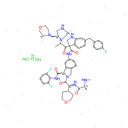 CN[C@@H](C)C(=O)N[C@H](C(=O)N1Cc2ccc(NC(=O)C3(C(=O)C(C)N4C[C@@H](C)NC[C@@H]4CN4CCOC[C@H]4C)CNc4cc(Cc5ccc(F)cc5)ccc43)cc2[C@@H]1C(=O)Nc1c(F)cccc1F)C1CCOCC1.Cl.Cl.Cl